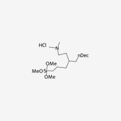 CCCCCCCCCCCC(CCC[Si](OC)(OC)OC)CCN(C)C.Cl